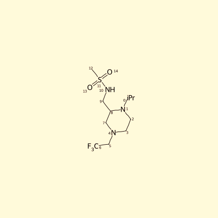 CC(C)N1CCN(CC(F)(F)F)CC1CNS(C)(=O)=O